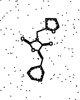 O=C1O/C(=C\c2ccccc2)C(=O)N1Cc1ccco1